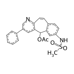 CC(=O)OC1c2cc(NS(C)(=O)=O)ccc2C=Cc2ncc(-c3ccccc3)cc21